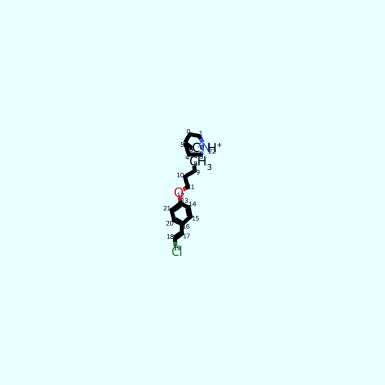 C1CN2CCC1CC2.CCCCOc1ccc(/C=C/Cl)cc1.[H+]